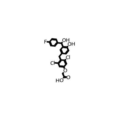 O=C(O)COc1cc(Cl)c(Cc2ccc(O)c(C(O)c3ccc(F)cc3)c2)c(Cl)c1